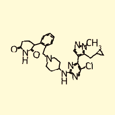 Cn1ncc(-c2nc(NC3CCN(Cc4ccccc4C4CCC(=O)NC4=O)CC3)ncc2Cl)c1CC1CC1